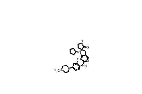 CN1CCN(c2ccc(Nc3ncc4c(n3)N(C3CCCC3)C3(CCNC3=O)C4)c(F)c2)CC1